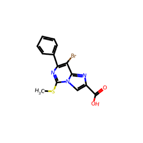 CSc1nc(-c2ccccc2)c(Br)c2nc(C(=O)O)cn12